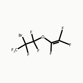 FC(F)=C(F)OC(F)(F)C(F)(Br)C(F)(F)F